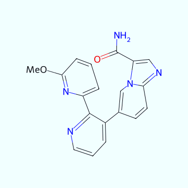 COc1cccc(-c2ncccc2-c2ccc3ncc(C(N)=O)n3c2)n1